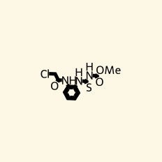 COC(=O)NC(=S)Nc1ccccc1NC(=O)CCl